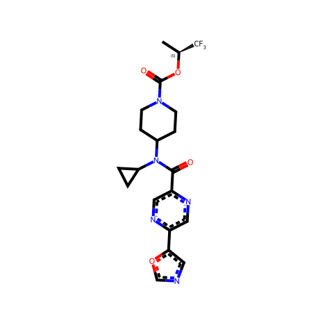 C[C@H](OC(=O)N1CCC(N(C(=O)c2cnc(-c3cnco3)cn2)C2CC2)CC1)C(F)(F)F